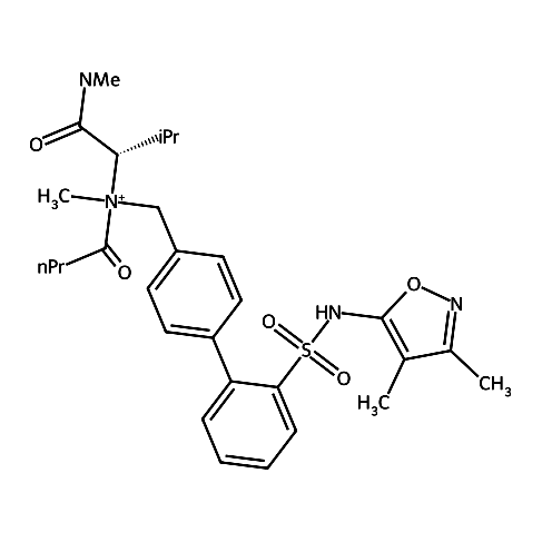 CCCC(=O)[N+](C)(Cc1ccc(-c2ccccc2S(=O)(=O)Nc2onc(C)c2C)cc1)[C@H](C(=O)NC)C(C)C